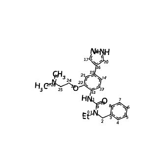 CCN(Cc1ccccc1)C(=O)Nc1ccc(-c2cn[nH]c2)cc1OCCN(C)C